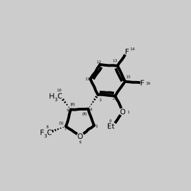 CCOc1c([C@@H]2CO[C@H](C(F)(F)F)[C@@H]2C)ccc(F)c1F